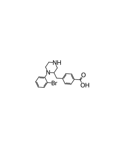 O=C(O)c1ccc(CC2CNCCN2c2ccccc2Br)cc1